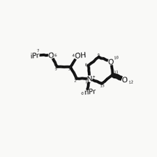 CCC[N+]1(CC(O)COC(C)C)CCOC(=O)C1